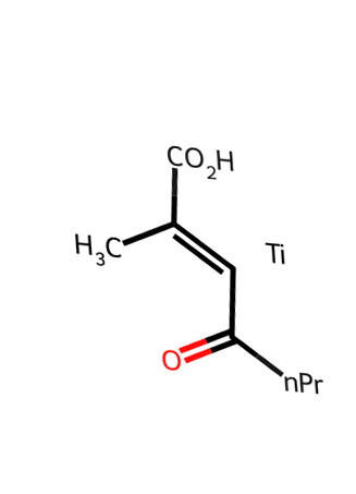 CCCC(=O)C=C(C)C(=O)O.[Ti]